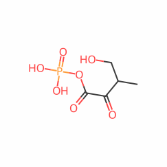 CC(CO)C(=O)C(=O)OP(=O)(O)O